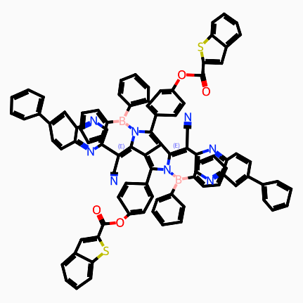 N#C/C(c1cnc2cc(-c3ccccc3)ccc2n1)=c1\c2c(-c3ccc(OC(=O)c4cc5ccccc5s4)cc3)n(B(c3ccccc3)c3ccccc3)/c(=C(/C#N)c3cnc4cc(-c5ccccc5)ccc4n3)c2c(-c2ccc(OC(=O)c3cc4ccccc4s3)cc2)n1B(c1ccccc1)c1ccccc1